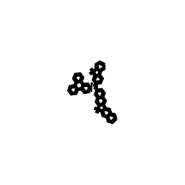 CC1(C)c2ccccc2-c2ccc(N(c3ccc4cc5c(cc4c3)C(C)(C)c3cc4ccccc4cc3-5)c3ccc4c5ccccc5c5ccccc5c4c3)cc21